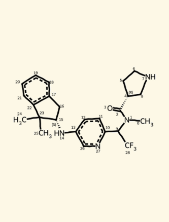 CN(C(=O)[C@@H]1CCNC1)C(c1ccc(N[C@H]2Cc3ccccc3C2(C)C)cn1)C(F)(F)F